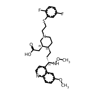 CON[C@@H](CC[C@@H]1CCN(CCSc2cc(F)ccc2F)C[C@@H]1CC(=O)O)c1ccnc2ccc(OC)cc12